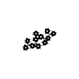 c1ccc(N(c2ccccc2)c2ccc3c4ccccc4n(-c4ccc(-c5ccccc5-c5ccc(-n6c7ccccc7c7ccc(N(c8ccccc8)c8ccccc8)cc76)cc5)cc4)c3c2)cc1